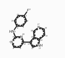 Fc1ccc(Nc2nccc(-c3c[nH]c4ccncc34)n2)cc1